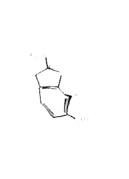 COc1ccc2c(c1)OC(C(=O)O)C2